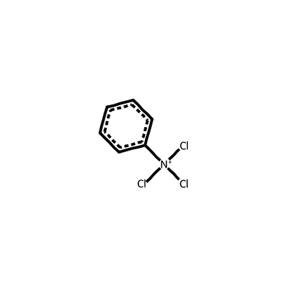 Cl[N+](Cl)(Cl)c1ccccc1